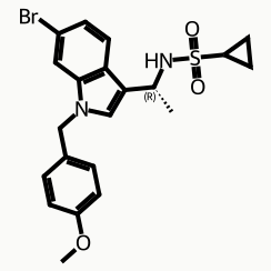 COc1ccc(Cn2cc([C@@H](C)NS(=O)(=O)C3CC3)c3ccc(Br)cc32)cc1